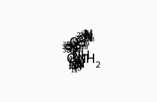 C[C@@H](NC(=O)c1c(N)nn2cccnc12)c1cc2cccc(/C=C\c3cnn(C)c3)c2c(=O)n1-c1ccccc1